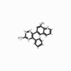 CC(C)c1cc(-c2nnc(N)nc2-c2ccccc2)cc2cccnc12